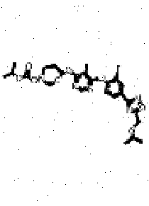 Cc1c(Oc2ccc(-c3noc(COC(C)C)n3)cc2F)ncnc1OC1CCN(OC(=O)OC(C)C)CC1